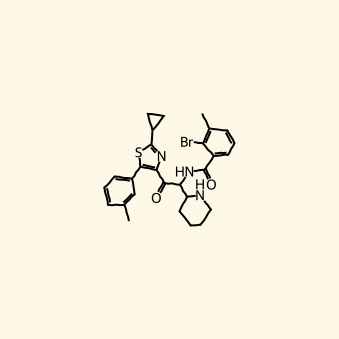 Cc1cccc(-c2sc(C3CC3)nc2C(=O)C(NC(=O)c2cccc(C)c2Br)C2CCCCN2)c1